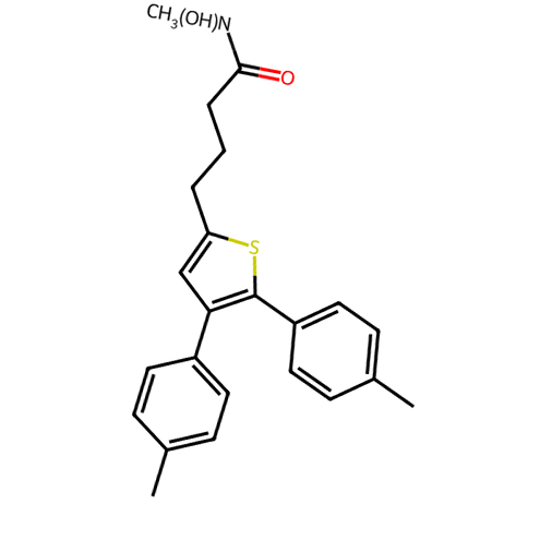 Cc1ccc(-c2cc(CCCC(=O)N(C)O)sc2-c2ccc(C)cc2)cc1